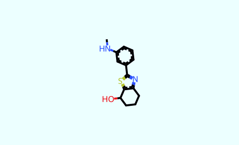 CNc1cccc(-c2nc3c(s2)C(O)CCC3)c1